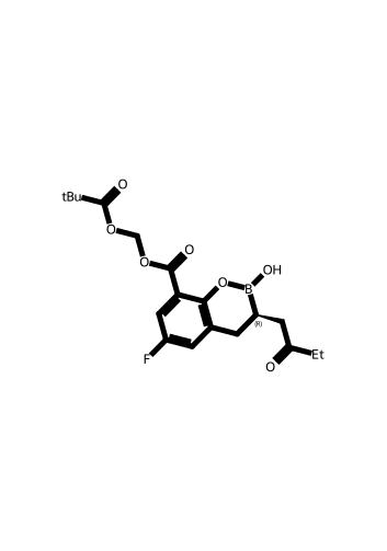 CCC(=O)C[C@H]1Cc2cc(F)cc(C(=O)OCOC(=O)C(C)(C)C)c2OB1O